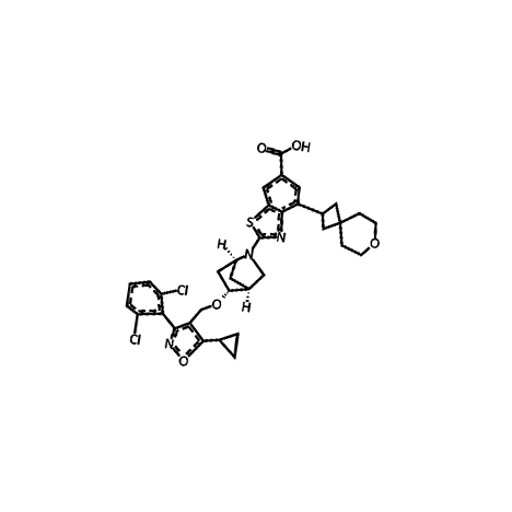 O=C(O)c1cc(C2CC3(CCOCC3)C2)c2nc(N3C[C@@H]4C[C@H]3C[C@H]4OCc3c(-c4c(Cl)cccc4Cl)noc3C3CC3)sc2c1